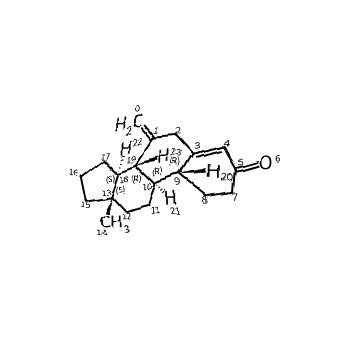 C=C1CC2=CC(=O)CC[C@@H]2[C@H]2CC[C@]3(C)CCC[C@H]3[C@H]12